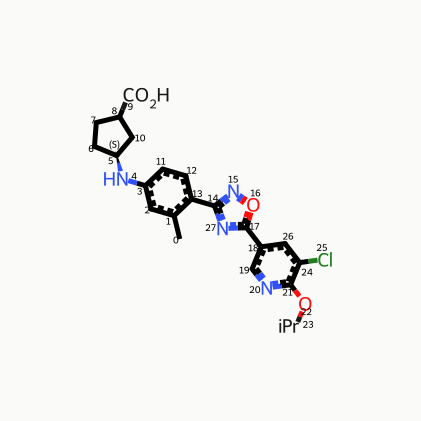 Cc1cc(N[C@H]2CCC(C(=O)O)C2)ccc1-c1noc(-c2cnc(OC(C)C)c(Cl)c2)n1